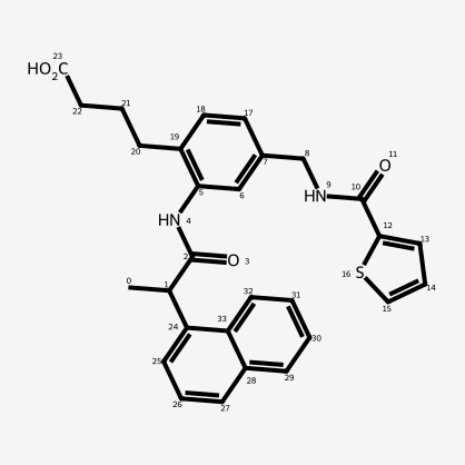 CC(C(=O)Nc1cc(CNC(=O)c2cccs2)ccc1CCCC(=O)O)c1cccc2ccccc12